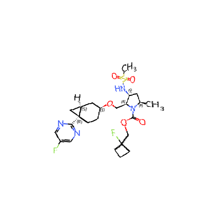 C[C@@H]1C[C@H](NS(C)(=O)=O)[C@H](CO[C@H]2CC[C@@]3(c4ncc(F)cn4)C[C@H]3C2)N1C(=O)OCC1(F)CCC1